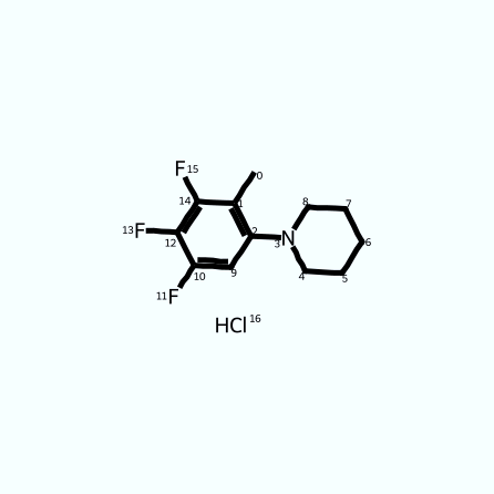 Cc1c(N2CCCCC2)cc(F)c(F)c1F.Cl